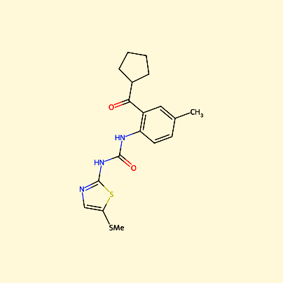 CSc1cnc(NC(=O)Nc2ccc(C)cc2C(=O)C2CCCC2)s1